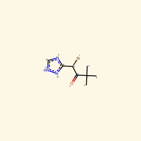 CC(C)(C)C(=O)[C@H](Br)c1nc[nH]n1